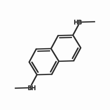 CBc1ccc2cc(BC)ccc2c1